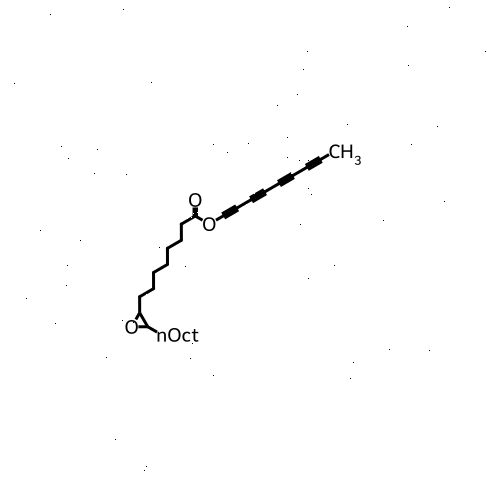 CC#CC#CC#CC#COC(=O)CCCCCCCC1OC1CCCCCCCC